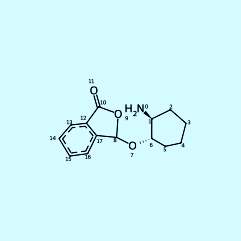 N[C@H]1CCCC[C@@H]1OC1OC(=O)c2ccccc21